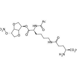 CC(=O)C(=O)N[C@@H](CCCCNC(=O)CC[C@H](N)C(=O)O)C(=O)O[C@@H]1COC2C1OC[C@@H]2O[N+](=O)[O-]